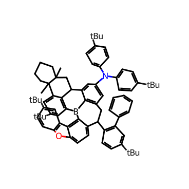 CC(C)(C)c1ccc(N(c2ccc(C(C)(C)C)cc2)c2cc3c4c(c2)C2CC5(C)CCCCC5(C)c5cc(C(C)(C)C)cc(c52)B4c2c(ccc4oc5ccc(C(C)(C)C)cc5c24)C(c2ccc(C(C)(C)C)cc2-c2ccccc2)C3)cc1